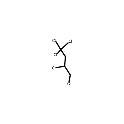 [O]CC(Cl)CC(Cl)(Cl)Cl